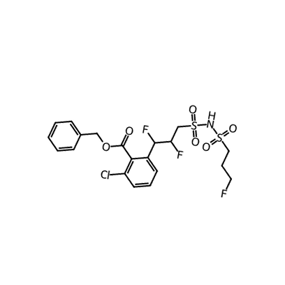 O=C(OCc1ccccc1)c1c(Cl)cccc1C(F)C(F)CS(=O)(=O)NS(=O)(=O)CCCF